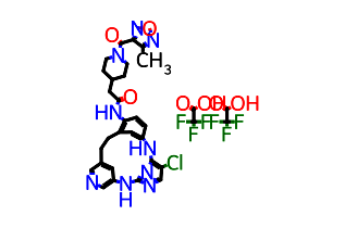 Cc1nonc1C(=O)N1CCC(CC(=O)Nc2ccc3cc2CCc2cncc(c2)Nc2ncc(Cl)c(n2)N3)CC1.O=C(O)C(F)(F)F.O=C(O)C(F)(F)F